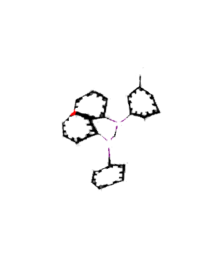 Cc1cccc(P(CP(c2ccccc2)c2ccccc2)c2ccccc2)c1